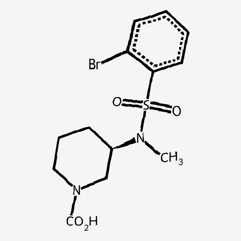 CN([C@@H]1CCCN(C(=O)O)C1)S(=O)(=O)c1ccccc1Br